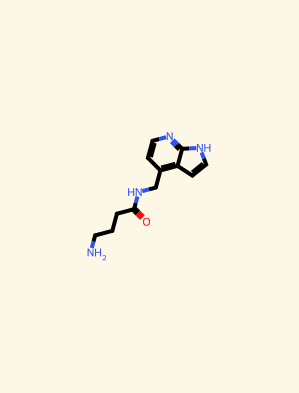 NCCCC(=O)NCc1ccnc2[nH]ccc12